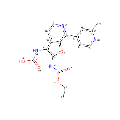 CCOC(=O)Nc1oc2c(-c3ccnc(C)c3)nccc2c1NC(=O)O